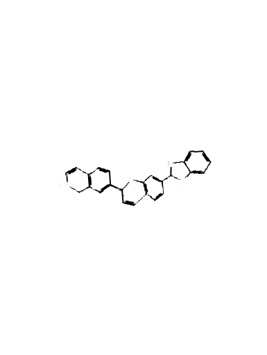 C1=Cc2ccc(C3C=Cc4ccc(C5Nc6ccccc6N5)cc4N3)cc2CN1